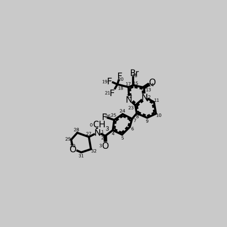 CN(C(=O)c1ccc(-c2cccn3c(=O)c(Br)c(C(F)(F)F)nc23)cc1F)C1CCOCC1